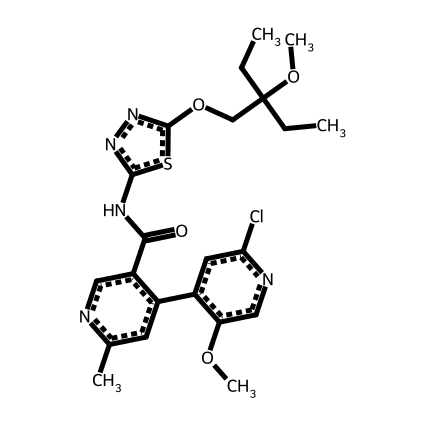 CCC(CC)(COc1nnc(NC(=O)c2cnc(C)cc2-c2cc(Cl)ncc2OC)s1)OC